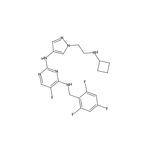 Fc1cc(F)c(CNc2nc(Nc3cnn(CCNC4CCC4)c3)ncc2F)c(F)c1